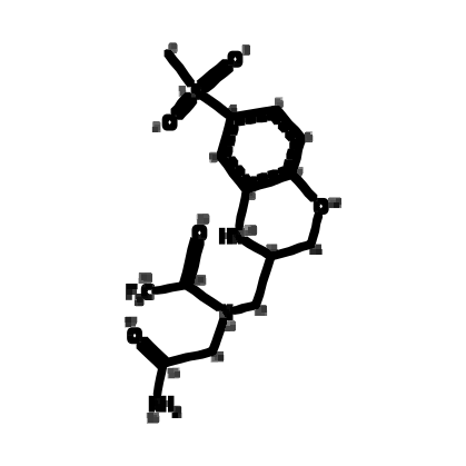 CS(=O)(=O)c1ccc2c(c1)NC(CN(CC(N)=O)C(=O)C(F)(F)F)CO2